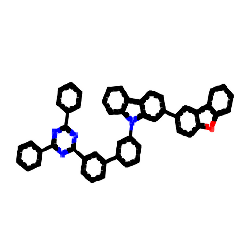 c1ccc(-c2nc(-c3ccccc3)nc(-c3cccc(-c4cccc(-n5c6ccccc6c6ccc(-c7ccc8oc9ccccc9c8c7)cc65)c4)c3)n2)cc1